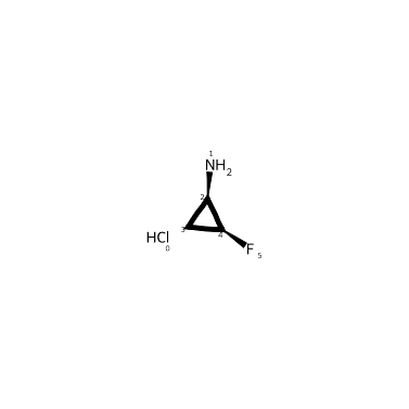 Cl.N[C@@H]1C[C@@H]1F